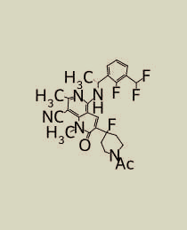 CC(=O)N1CCC(F)(c2cc3c(N[C@H](C)c4cccc(C(F)F)c4F)nc(C)c(C#N)c3n(C)c2=O)CC1